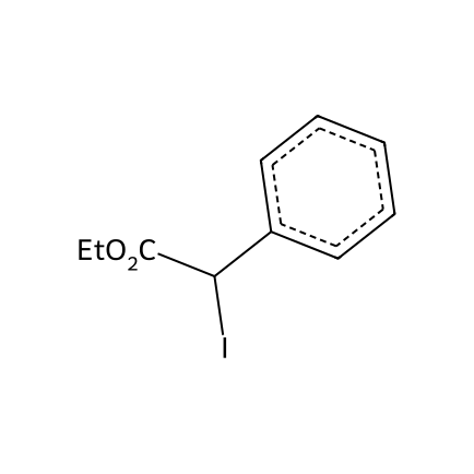 [CH2]COC(=O)C(I)c1ccccc1